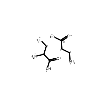 CCC(N)C(=O)O.NCCC(=O)O